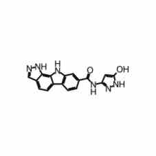 O=C(Nc1cc(O)[nH]n1)c1ccc2c(c1)[nH]c1c2ccc2cn[nH]c21